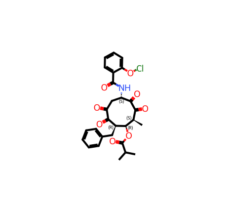 CC(C)C(=O)O[C@@H]1[C@H](C)C(=O)C(=O)[C@@H](NC(=O)c2ccccc2OCl)CC(=O)C(=O)[C@@H]1Cc1ccccc1